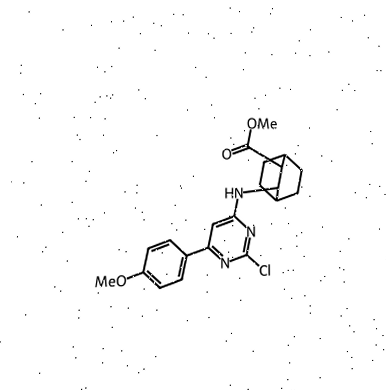 COC(=O)C1C2CCC(CC2)C1Nc1cc(-c2ccc(OC)cc2)nc(Cl)n1